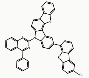 CC(C)(C)c1ccc2sc3c(-c4ccc5c(c4)c4c6sc7ccccc7c6ccc4n5-c4nc(-c5ccccc5)c5ccccc5n4)cccc3c2c1